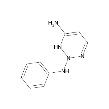 NC1=CC=NN(Nc2ccccc2)N1